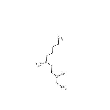 CCCCCN(C)CC[S+]([O-])CC